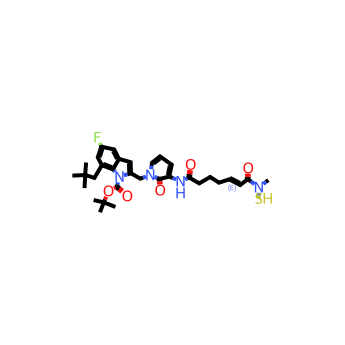 CN(S)C(=O)/C=C/CCCC(=O)Nc1cccn(Cc2cc3cc(F)cc(CC(C)(C)C)c3n2C(=O)OC(C)(C)C)c1=O